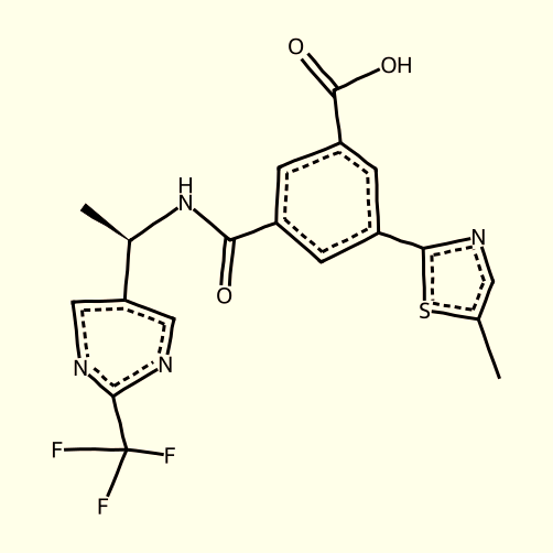 Cc1cnc(-c2cc(C(=O)O)cc(C(=O)N[C@H](C)c3cnc(C(F)(F)F)nc3)c2)s1